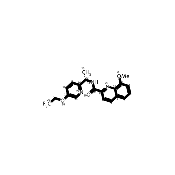 COc1cccc2ccc(C(=O)N[C@@H](C)c3ccc(OCC(F)(F)F)cn3)nc12